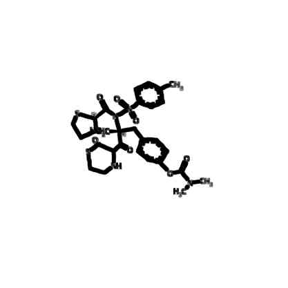 Cc1ccc(S(=O)(=O)N(C(=O)[C@H]2NCCS2)[C@@](Cc2ccc(OC(=O)N(C)C)cc2)(C(=O)O)C(=O)C2NCCSC2=O)cc1